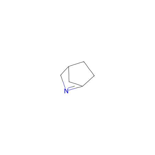 C1CC2CN=C1C2